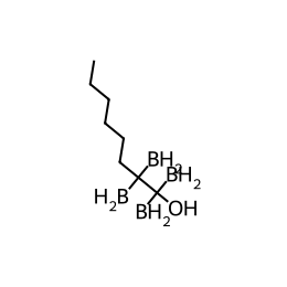 BC(B)(O)C(B)(B)CCCCCC